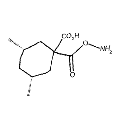 C[C@@H]1C[C@H](C)CC(C(=O)O)(C(=O)ON)C1